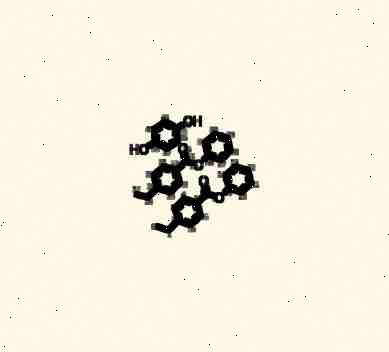 CCc1ccc(C(=O)Oc2ccccc2)cc1.CCc1ccc(C(=O)Oc2ccccc2)cc1.Oc1ccc(O)cc1